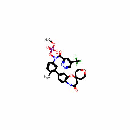 COP(=O)(O)ON(C(=O)c1cc(C(F)(F)F)cnn1)c1ccc(C)c(-c2ccc3c(c2)OC2(CCOCC2)CC(=O)N3)c1